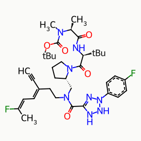 C#C/C(=C\C=C(/C)F)CCN(C[C@@H]1CCCN1C(=O)[C@@H](NC(=O)[C@H](C)N(C)C(=O)OC(C)(C)C)C(C)(C)C)C(=O)C1=NN(c2ccc(F)cc2)NN1